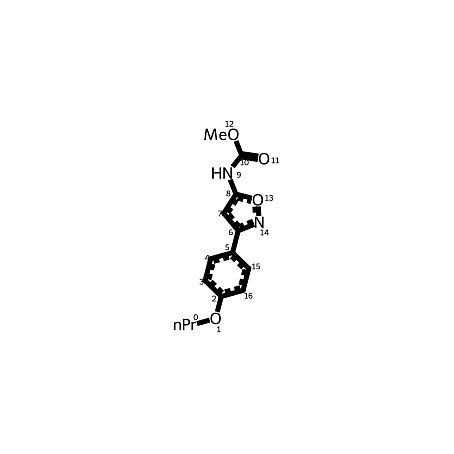 CCCOc1ccc(-c2cc(NC(=O)OC)on2)cc1